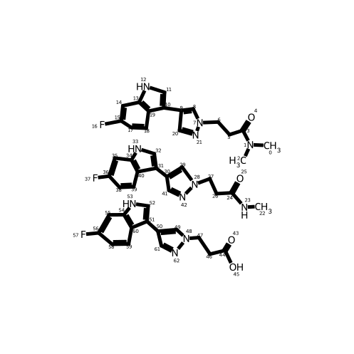 CN(C)C(=O)CCn1cc(-c2c[nH]c3cc(F)ccc23)cn1.CNC(=O)CCn1cc(-c2c[nH]c3cc(F)ccc23)cn1.O=C(O)CCn1cc(-c2c[nH]c3cc(F)ccc23)cn1